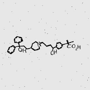 CC(C)(C(=O)O)c1ccc(C(O)CCCN2CCC(CCC(O)(c3ccccc3)c3ccccc3)CC2)cc1